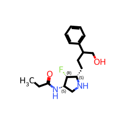 CCC(=O)N[C@H]1CN[C@@H](CCC(CO)c2ccccc2)[C@H]1F